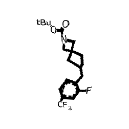 CC(C)(C)OC(=O)N1CC2(CC(Cc3ccc(C(F)(F)F)cc3F)C2)C1